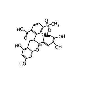 CS(=O)(=O)c1ccc(C(=O)O)c(C2Cc3c(O)cc(O)cc3O[C@@H]2c2ccc(O)c(O)c2)c1O